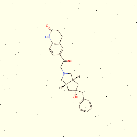 O=C1CCc2cc(C(=O)CN3C[C@@H]4C[C@@](O)(Cc5ccccc5)C[C@@H]4C3)ccc2N1